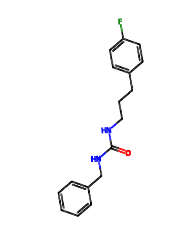 O=C(NCCCc1ccc(F)cc1)NCc1ccccc1